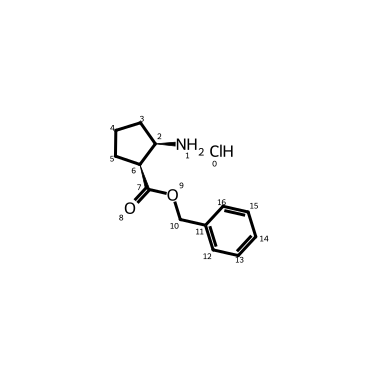 Cl.N[C@@H]1CCC[C@@H]1C(=O)OCc1ccccc1